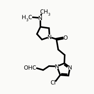 CN(C)C1CCN(C(=O)CCc2ncc(Cl)n2CCC=O)C1